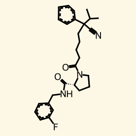 CC(C)C(C#N)(CCCCC(=O)N1CCC[C@@H]1C(=O)NCc1cccc(F)c1)c1ccccc1